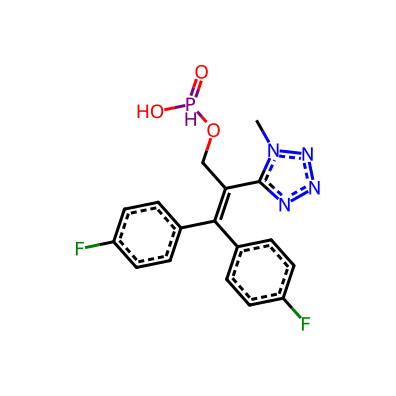 Cn1nnnc1C(CO[PH](=O)O)=C(c1ccc(F)cc1)c1ccc(F)cc1